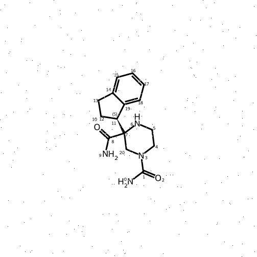 NC(=O)N1CCNC(C(N)=O)([C@H]2CCc3ccccc32)C1